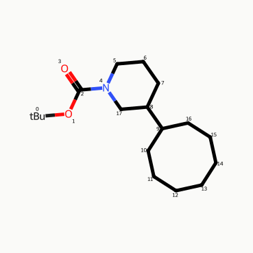 CC(C)(C)OC(=O)N1CCCC(C2CCCCCCC2)C1